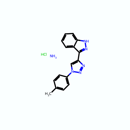 Cc1ccc(-n2cc(-c3n[nH]c4ccccc34)nn2)cc1.Cl.N